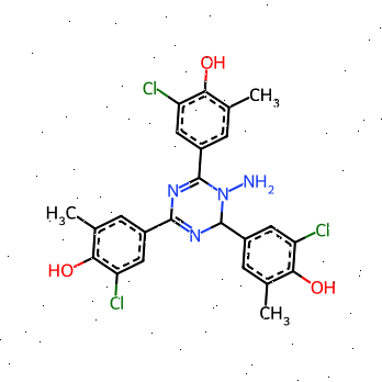 Cc1cc(C2=NC(c3cc(C)c(O)c(Cl)c3)N(N)C(c3cc(C)c(O)c(Cl)c3)=N2)cc(Cl)c1O